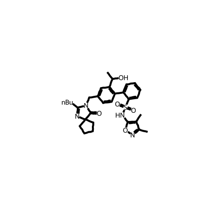 CCCCC1=NC2(CCCC2)C(=O)N1Cc1ccc(-c2ccccc2S(=O)(=O)Nc2onc(C)c2C)c(C(C)O)c1